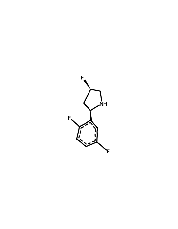 Fc1ccc(F)c([C@H]2C[C@@H](F)CN2)c1